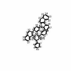 c1ccc(C2=NC(c3c(-c4ccc(-n5c6ccccc6c6c7ccccc7ccc65)cc4)ccc4ccccc34)=NC(c3ccccc3)N2)cc1